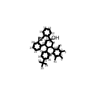 Cc1c(C)c(C)c(C2CC(O)(c3ccccc3Cl)C=C(c3ccccc3Br)C2c2ccc(C(C)(C)C)cc2)c(Br)c1C